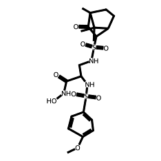 COc1ccc(S(=O)(=O)NC(CNS(=O)(=O)C2C(=O)C3(C)CCC2C3(C)C)C(=O)NO)cc1